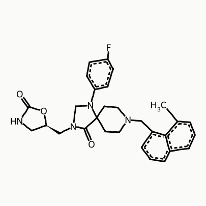 Cc1cccc2cccc(CN3CCC4(CC3)C(=O)N(C[C@H]3CNC(=O)O3)CN4c3ccc(F)cc3)c12